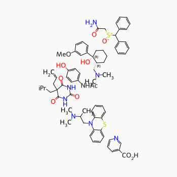 C=CCC1(CC(C)C)C(=O)NC(=O)NC1=O.CC(=O)Nc1ccc(O)cc1.CC(CN1c2ccccc2Sc2ccccc21)N(C)C.COc1cccc([C@@]2(O)CCCC[C@@H]2CN(C)C)c1.NC(=O)C[S+]([O-])C(c1ccccc1)c1ccccc1.O=C(O)c1cccnc1